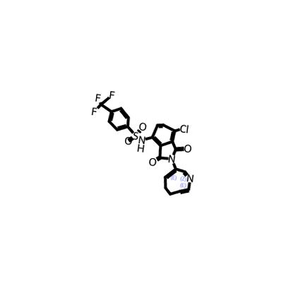 O=C1c2c(Cl)ccc(NS(=O)(=O)c3ccc(C(F)(F)F)cc3)c2C(=O)N1C1=C/CC/C=C/N=C\1